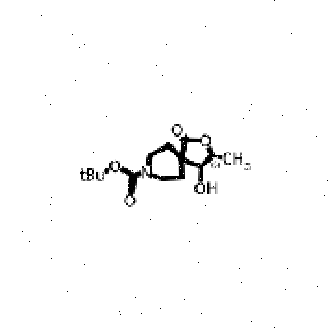 C[C@@H]1OC(=O)C2(CCN(C(=O)OC(C)(C)C)CC2)C1O